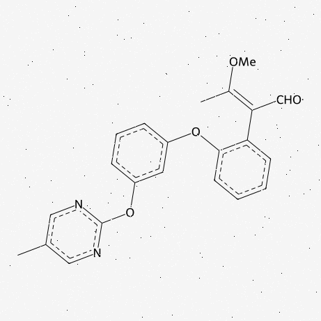 COC(C)=C([C]=O)c1ccccc1Oc1cccc(Oc2ncc(C)cn2)c1